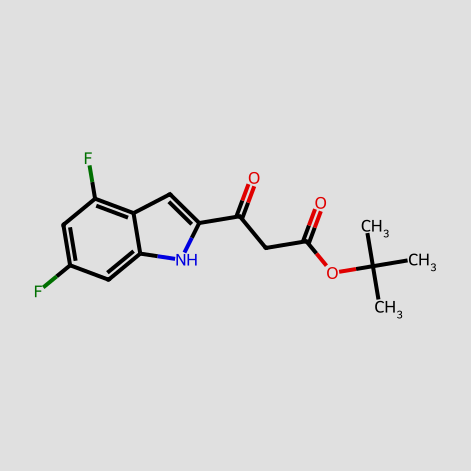 CC(C)(C)OC(=O)CC(=O)c1cc2c(F)cc(F)cc2[nH]1